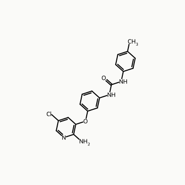 Cc1ccc(NC(=O)Nc2cccc(Oc3cc(Cl)cnc3N)c2)cc1